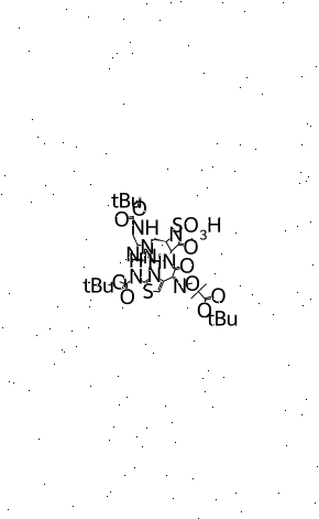 CC(C)(C)OC(=O)NCc1ncnn1C[C@@H]1[C@H](NC(=O)/C(=N\OC(C)(C)C(=O)OC(C)(C)C)c2csc(NC(=O)OC(C)(C)C)n2)C(=O)N1S(=O)(=O)O